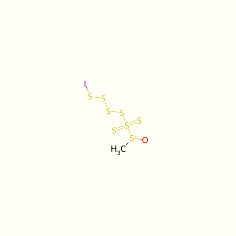 C[S+]([O-])S(=S)(=S)SSSSI